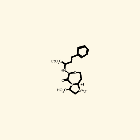 CCOC(=O)C(CCc1ccccc1)N[C@H]1CCC[C@@H]2N(C1=O)[C@H](C(=O)O)C[S@@+]2[O-]